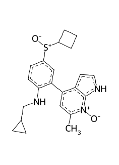 Cc1cc(-c2cc([S+]([O-])C3CCC3)ccc2NCC2CC2)c2cc[nH]c2[n+]1[O-]